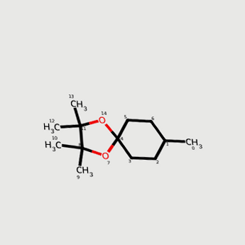 CC1CCC2(CC1)OC(C)(C)C(C)(C)O2